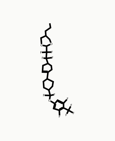 CCCC1COC(C(F)(F)C(F)(F)C2CC=C(C3CCC(C(F)(F)Oc4cc(F)c(C(F)(F)F)c(F)c4)CC3)CC2)OC1